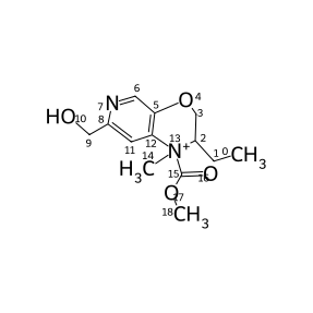 CCC1COc2cnc(CO)cc2[N+]1(C)C(=O)OC